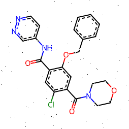 O=C(Nc1ccnnc1)c1cc(Cl)c(C(=O)N2CCOCC2)cc1OCc1ccccc1